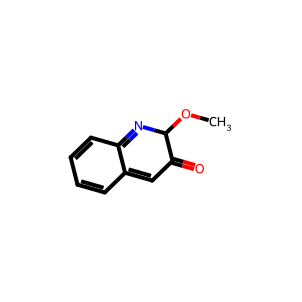 COC1N=c2ccccc2=CC1=O